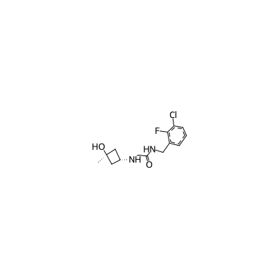 C[C@]1(O)C[C@H](NCC(=O)NCc2cccc(Cl)c2F)C1